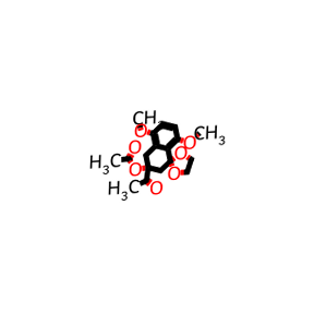 COc1ccc(OC)c2c1CC(OC(C)=O)(C(C)=O)CC21OCCO1